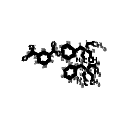 CC[N+](CC)(CC)Cc1ccccc1.CC[N+](CC)(CC)Cc1ccccc1.O=C([O-])c1cccc(C(=O)[O-])c1